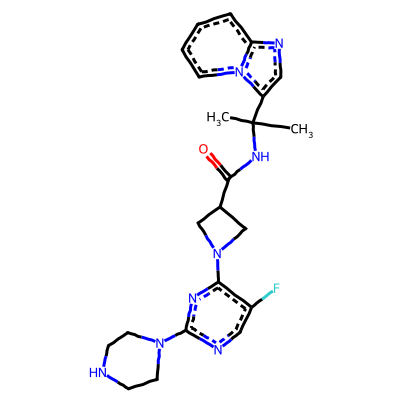 CC(C)(NC(=O)C1CN(c2nc(N3CCNCC3)ncc2F)C1)c1cnc2ccccn12